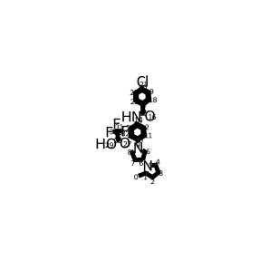 CC1CCCN1C1CCN(c2ccc(NC(=O)c3ccc(Cl)cc3)cc2)C1.O=C(O)C(F)(F)F